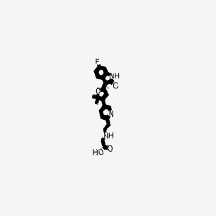 CC1(C)O/C(=C2/C(=O)Nc3cc(F)ccc32)C=C1c1ccc(CCNCC(=O)O)nc1